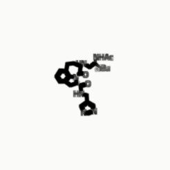 CC[C@H](C)[C@@H](CN[C@H]1CCc2cccc3c2N(C1=O)[C@H](C(=O)NCc1cncnc1)C3)NC(C)=O